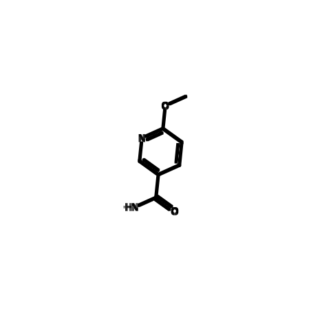 COc1ccc(C([NH])=O)cn1